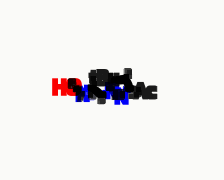 CC(=O)c1ccn(C/C(=N/O)C(C)(C)C)n1